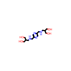 OCC(CO)CNCc1cnc(CNCC(CO)CO)cn1